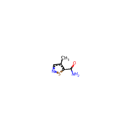 Cc1cnsc1C(N)=O